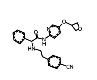 N#Cc1ccc(CCN[C@H](C(=O)Nc2ccc(OC3COC3)cn2)c2ccccc2)cc1